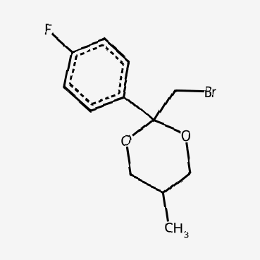 CC1COC(CBr)(c2ccc(F)cc2)OC1